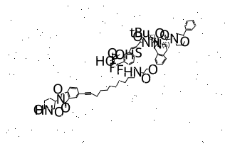 CC(C)(C)[C@H](NC(=O)c1cc2cc(C(F)(F)P(=O)(O)O)ccc2s1)C(=O)N1Cc2cc(OCC(=O)NCCCCCCCCCC#Cc3ccc4c(c3)C(=O)N(C3CCC(=O)NC3=O)C4=O)ccc2C[C@H]1C(=O)N1CCOC(c2ccccc2)C1